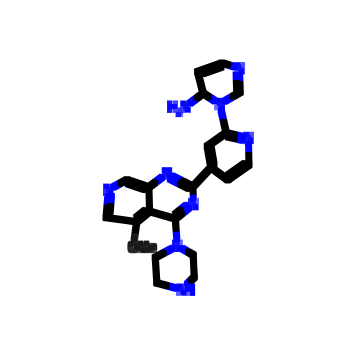 COc1cncc2nc(-c3ccnc(N4C=NC=CC4N)c3)nc(N3CCNCC3)c12